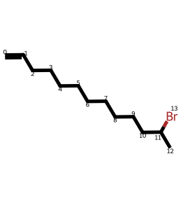 C=CCCCCCCCCCC(C)Br